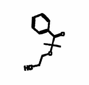 CC(C)(OCCO)C(=O)c1ccccc1